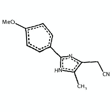 COc1ccc(-c2nc(CC#N)c(C)[nH]2)cc1